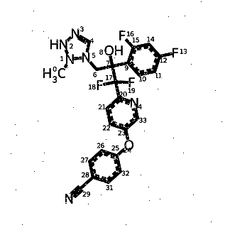 CN1NN=CN1CC(O)(c1ccc(F)cc1F)C(F)(F)c1ccc(Oc2ccc(C#N)cc2)cn1